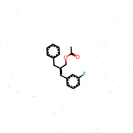 CC(=O)OCC(=Cc1cccc(F)c1)Cc1ccccc1